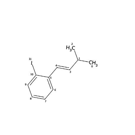 CC(C)C=Cc1ccccc1I